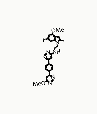 COc1cc(-c2ccc(-c3cc(NCCn4c(C)cc5c(OC)cc(F)cc54)ncn3)cc2)ncn1